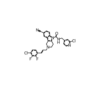 N#Cc1ccc2c(c1)c1c(n2C(=O)NCc2ccnc(Cl)c2)CCN(C/C=C/c2ccc(Cl)c(F)c2F)C1